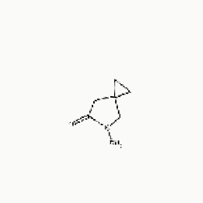 NN1CC2(CC2)CC1=O